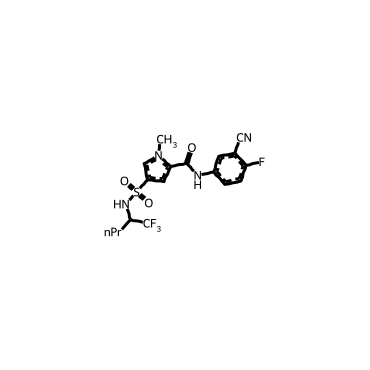 CCCC(NS(=O)(=O)c1cc(C(=O)Nc2ccc(F)c(C#N)c2)n(C)c1)C(F)(F)F